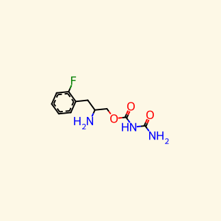 NC(=O)NC(=O)OCC(N)Cc1ccccc1F